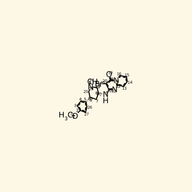 COc1ccc([C@H]2C[C@@H](Nc3nc4ccccn4c(=O)c3Br)CN(C)C2)cc1